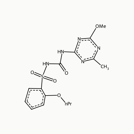 CCCOc1ccccc1S(=O)(=O)NC(=O)Nc1nc(C)nc(OC)n1